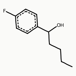 CCCCC(O)c1ccc(F)cc1